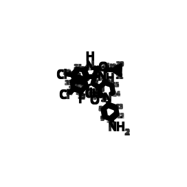 CC1([C@H]2[C@@H]3C(=O)N(c4ccc(N)cc4)CC[C@@H]3N(CC3CC3)[C@@]23C(=O)Nc2cc(Cl)ccc23)CC=CC(Cl)=C1F